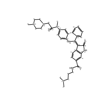 CN(C)CCCNC(=O)c1ccc2c(c1)NC(=O)C2=C(Nc1ccc(N(C)C(=O)CN2CCN(C)CC2)cc1)c1ccccc1